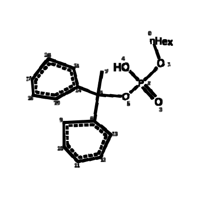 CCCCCCOP(=O)(O)OC(C)(c1ccccc1)c1ccccc1